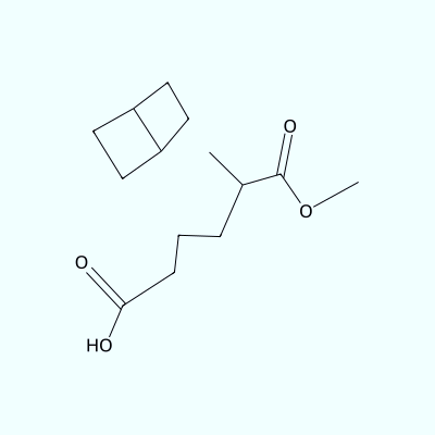 C1CC2CCC12.COC(=O)C(C)CCCC(=O)O